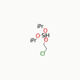 CC(C)O[SiH](OCCCl)OC(C)C